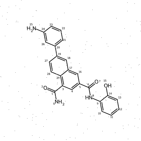 NC(=O)c1cc(C(=O)Nc2ccccc2O)cc2cc(-c3cccc(N)c3)ccc12